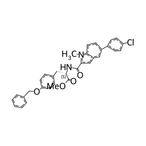 COC(=O)[C@H](Cc1ccc(OCc2ccccc2)cc1)NC(=O)c1cc2cc(-c3ccc(Cl)cc3)ccc2n1C